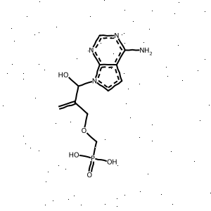 C=C(COCP(=O)(O)O)C(O)n1ccc2c(N)ncnc21